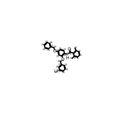 Cc1cccc(C)c1C(=O)Pc1ccc(OCc2ccccc2)cc1OCc1ccccc1.[LiH]